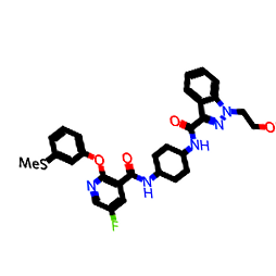 CSc1cccc(Oc2ncc(F)cc2C(=O)NC2CCC(NC(=O)c3nn(CCO)c4ccccc34)CC2)c1